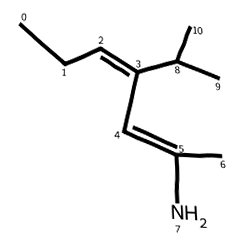 CC/C=C(\C=C(/C)N)C(C)C